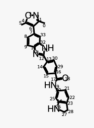 Cc1noc(C)c1-c1ccc2nc(-c3ccc(C(=O)Nc4ccc5c(c4)NCC5)cc3)[nH]c2c1